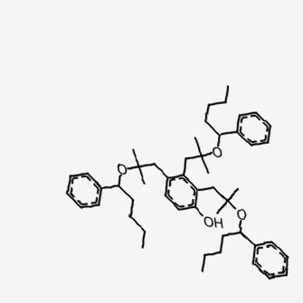 CCCCC(OC(C)(C)Cc1ccc(O)c(CC(C)(C)OC(CCCC)c2ccccc2)c1CC(C)(C)OC(CCCC)c1ccccc1)c1ccccc1